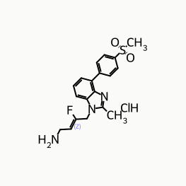 Cc1nc2c(-c3ccc(S(C)(=O)=O)cc3)cccc2n1C/C(F)=C/CN.Cl